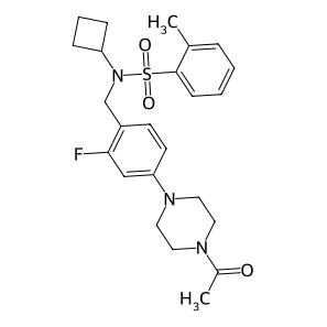 CC(=O)N1CCN(c2ccc(CN(C3CCC3)S(=O)(=O)c3ccccc3C)c(F)c2)CC1